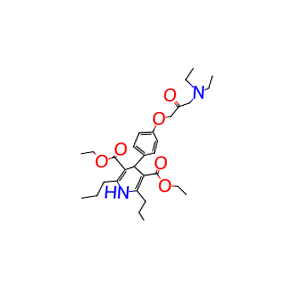 CCCC1=C(C(=O)OCC)C(c2ccc(OCC(=O)CN(CC)CC)cc2)C(C(=O)OCC)=C(CCC)N1